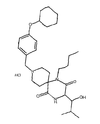 CCCCN1C(=O)C(C(O)C(C)C)NC(=O)C12CCN(Cc1ccc(OC3CCCCC3)cc1)CC2.Cl